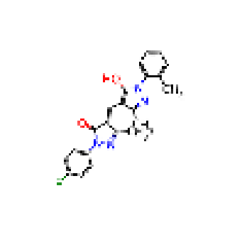 CC1=NN(c2ccc(F)cc2)C(=O)C1=Cc1c(C)nn(-c2ccccc2C)c1O